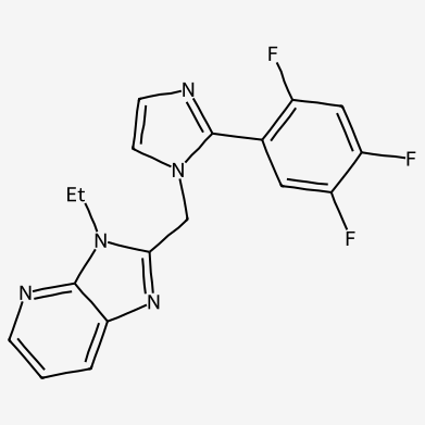 CCn1c(Cn2ccnc2-c2cc(F)c(F)cc2F)nc2cccnc21